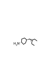 CCN(CC)C[C@H]1CC[C@H](N)CC1